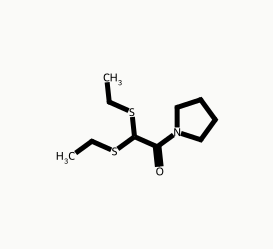 CCSC(SCC)C(=O)N1CCCC1